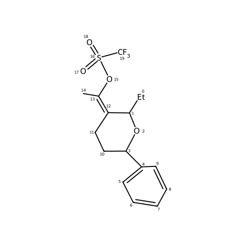 CCC1OC(c2ccccc2)CCC1=C(C)OS(=O)(=O)C(F)(F)F